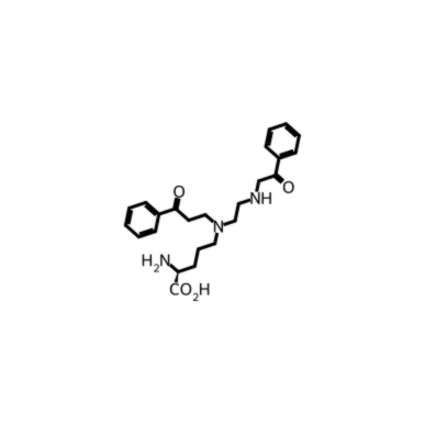 N[C@@H](CCCN(CCNCC(=O)c1ccccc1)CCC(=O)c1ccccc1)C(=O)O